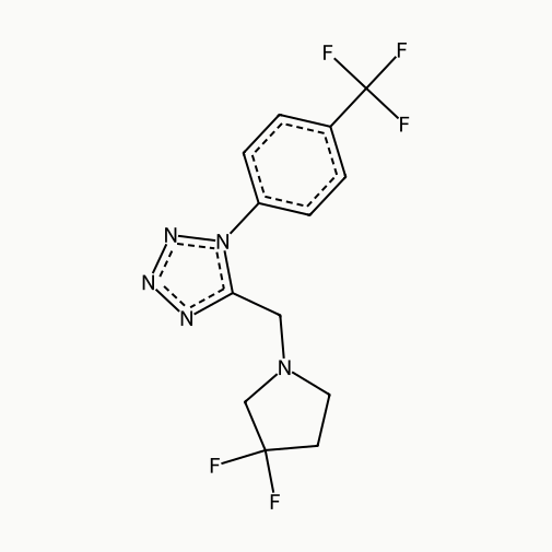 FC1(F)CCN(Cc2nnnn2-c2ccc(C(F)(F)F)cc2)C1